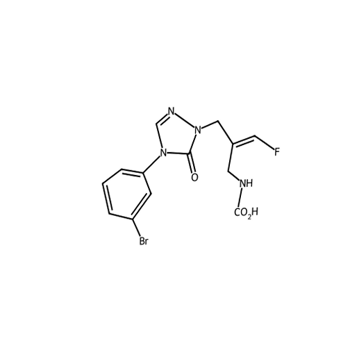 O=C(O)NC/C(=C\F)Cn1ncn(-c2cccc(Br)c2)c1=O